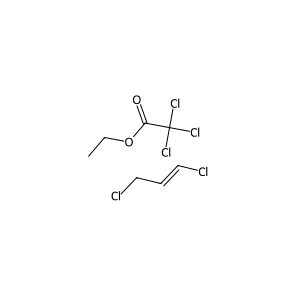 CCOC(=O)C(Cl)(Cl)Cl.ClC=CCCl